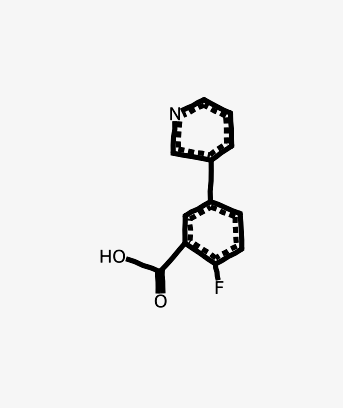 O=C(O)c1cc(-c2cccnc2)ccc1F